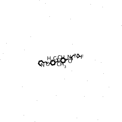 CC(C)C(C)(c1ccc(OCc2ccccn2)cc1)c1ccc(-c2nc(CN3CC(F)C3)co2)cc1